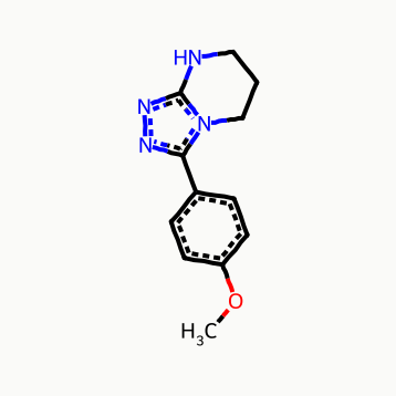 COc1ccc(-c2nnc3n2CCCN3)cc1